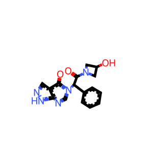 O=C(C(c1ccccc1)n1cnc2[nH]ncc2c1=O)N1CC(O)C1